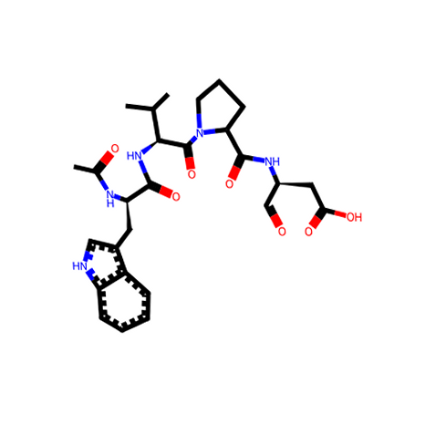 CC(=O)N[C@H](Cc1c[nH]c2ccccc12)C(=O)N[C@H](C(=O)N1CCCC1C(=O)N[C@H](C=O)CC(=O)O)C(C)C